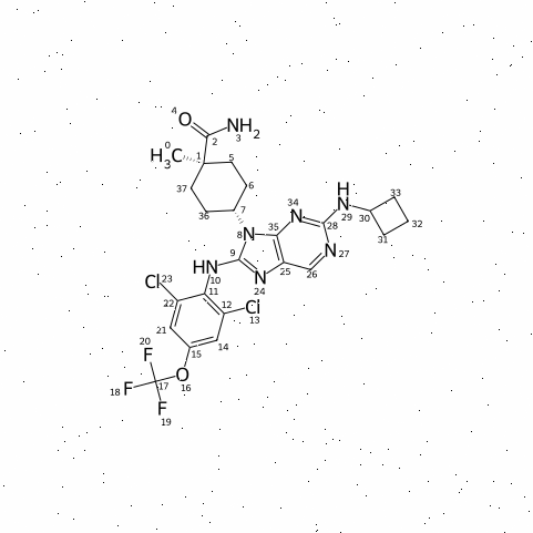 C[C@]1(C(N)=O)CC[C@H](n2c(Nc3c(Cl)cc(OC(F)(F)F)cc3Cl)nc3cnc(NC4CCC4)nc32)CC1